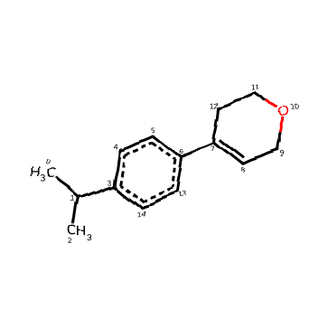 CC(C)c1ccc(C2=CCOCC2)cc1